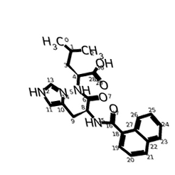 CC(C)C[C@H](NC(=O)[C@H](Cc1c[nH]cn1)NC(=O)c1cccc2ccccc12)C(=O)O